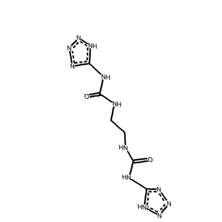 O=C(NCCNC(=O)Nc1nnn[nH]1)Nc1nnn[nH]1